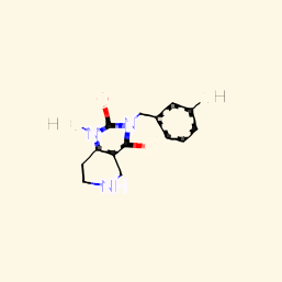 Cc1cccc(Cn2c(=O)c3c(n(C)c2=O)CCNC3)c1